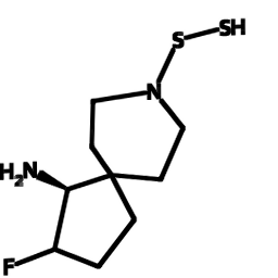 N[C@@H]1C(F)CCC12CCN(SS)CC2